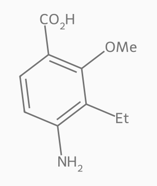 CCc1c(N)ccc(C(=O)O)c1OC